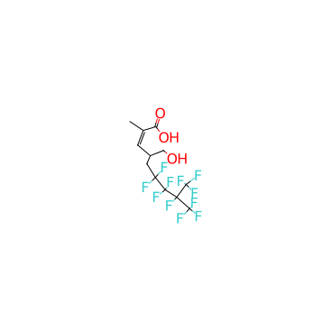 CC(=CC(CO)CC(F)(F)C(F)(F)C(F)(C(F)(F)F)C(F)(F)F)C(=O)O